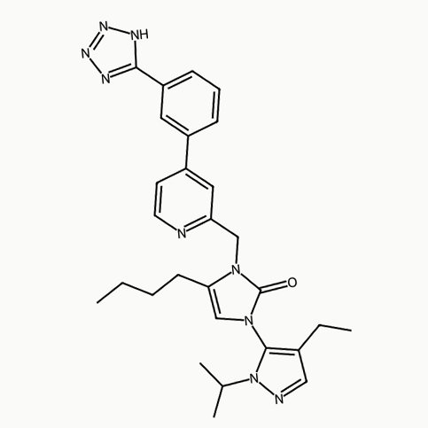 CCCCc1cn(-c2c(CC)cnn2C(C)C)c(=O)n1Cc1cc(-c2cccc(-c3nnn[nH]3)c2)ccn1